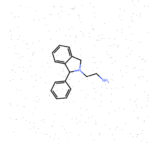 NCCN1Cc2ccccc2C1c1ccccc1